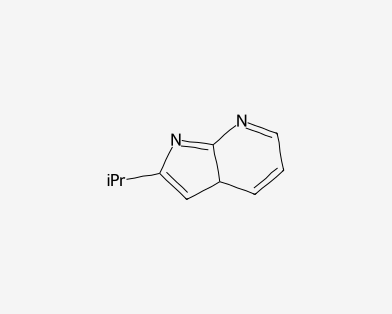 CC(C)C1=CC2C=CC=NC2=N1